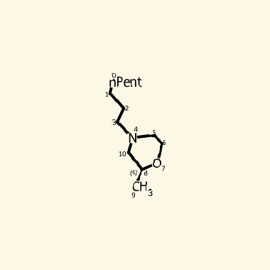 CCCCCCCCN1CCO[C@@H](C)C1